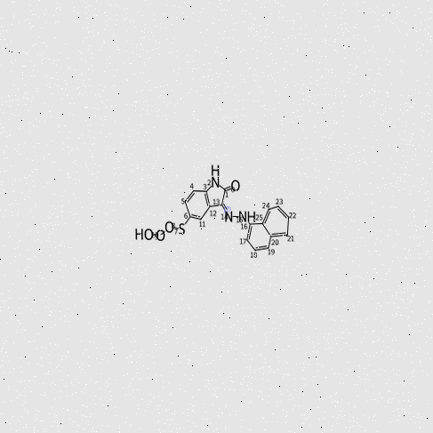 O=C1Nc2ccc(SOOO)cc2/C1=N/Nc1cccc2ccccc12